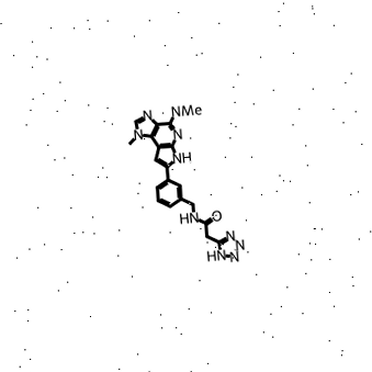 CNc1nc2[nH]c(-c3cccc(CNC(=O)Cc4nnn[nH]4)c3)cc2c2c1ncn2C